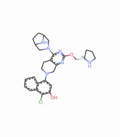 Oc1cc(N2CCc3c(nc(OC[C@@H]4CCCN4)nc3N3CC4CCC(C3)N4)C2)c2ccccc2c1Cl